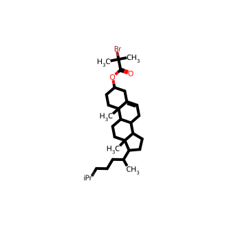 CC(C)CCCC(C)C1CCC2C3CC=C4CC(OC(=O)C(C)(C)Br)CCC4(C)C3CCC12C